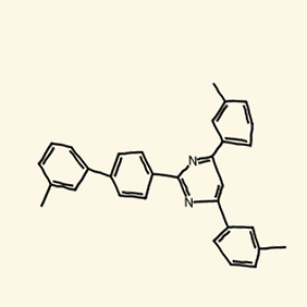 Cc1cccc(-c2ccc(-c3nc(-c4cccc(C)c4)cc(-c4cccc(C)c4)n3)cc2)c1